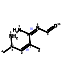 CC(=C/N(C)N)/C(N)=N\C=O